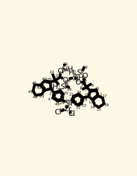 C[SiH2]OC(O[SiH2]C)C(C)(C)C1=CC2=C(CCCC2)C1c1ccc([SiH](c2ccc(C3C(C(C)(C)C(O[SiH2]C)O[SiH2]C)=CC4=C3CCCC4)cc2)[Zr]([Cl])[Cl])cc1